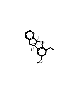 CCc1cc(OC)cc2c1N[C@@H]1c3ccccc3C[C@H]21